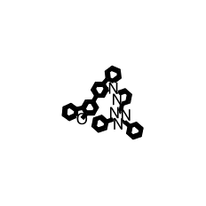 c1ccc(-c2nc(-c3ccccc3)nc(-c3cccc(-n4c5ccccc5c5ccc(-c6ccc7oc8ccccc8c7c6)cc54)n3)n2)cc1